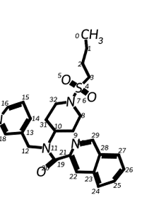 CCCCS(=O)(=O)N1CCC(N(Cc2cccnc2)C(=O)c2cc3ccccc3cn2)CC1